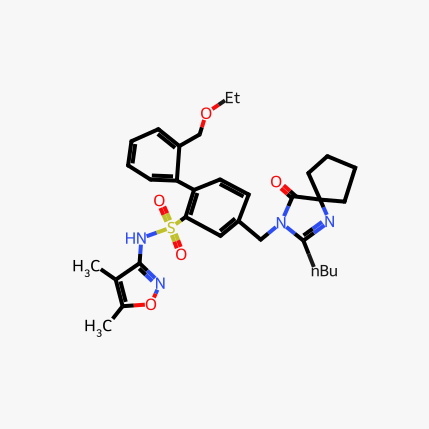 CCCCC1=NC2(CCCC2)C(=O)N1Cc1ccc(-c2ccccc2COCC)c(S(=O)(=O)Nc2noc(C)c2C)c1